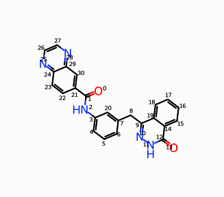 O=C(Nc1cccc(Cc2n[nH]c(=O)c3ccccc23)c1)c1ccc2nccnc2c1